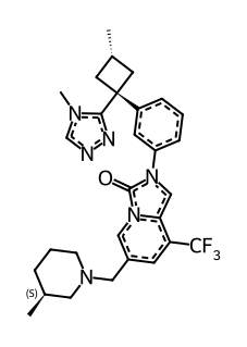 C[C@H]1CCCN(Cc2cc(C(F)(F)F)c3cn(-c4cccc([C@]5(c6nncn6C)C[C@@H](C)C5)c4)c(=O)n3c2)C1